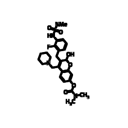 CNS(=O)(=O)Nc1cccc(CC2=C(CN3CCCCC3)c3ccc(OC(=O)N(C)C)cc3OC2O)c1F